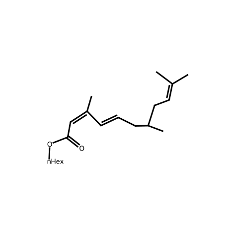 CCCCCCOC(=O)C=C(C)C=CCC(C)CC=C(C)C